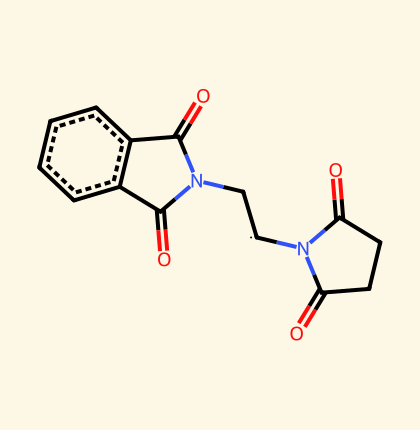 O=C1CCC(=O)N1[CH]CN1C(=O)c2ccccc2C1=O